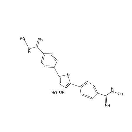 Cl.Cl.N=C(NO)c1ccc(-c2ccc(-c3ccc(C(=N)NO)cc3)[se]2)cc1